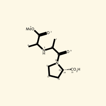 COC(=O)C(C)NC(C)C(=O)N1CCC[C@H]1C(=O)O